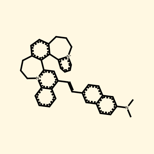 CN(C)c1ccc2cc(/C=C/c3cc4[n+](c5ccccc35)CCCc3ccc5c(c3-4)-c3cccc[n+]3CCC5)ccc2c1